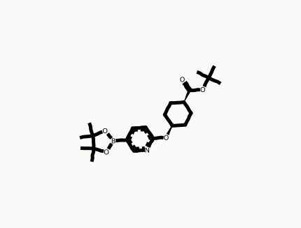 CC(C)(C)OC(=O)[C@H]1CC[C@@H](Oc2ccc(B3OC(C)(C)C(C)(C)O3)cn2)CC1